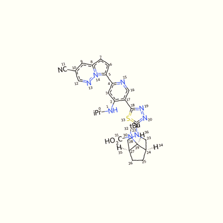 CC(C)Nc1cc(-c2ccc3cc(C#N)cnn23)ncc1-c1nnc(N2C[C@H]3CC[C@@H](C2)[C@H]3N(C(=O)O)C(C)(C)C)s1